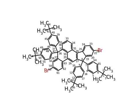 CC(C)(C)c1ccc(C2(c3ccc(C(C)(C)C)cc3)c3cc(Br)ccc3-c3c2cc2c4c(cccc34)C(c3ccc(C(C)(C)C)cc3)(c3ccc(C(C)(C)C)cc3)c3cc(Br)ccc3-2)cc1